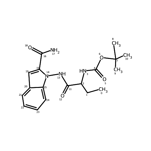 CCC(NC(=O)OC(C)(C)C)C(=O)Nn1c(C(N)=O)cc2ccccc21